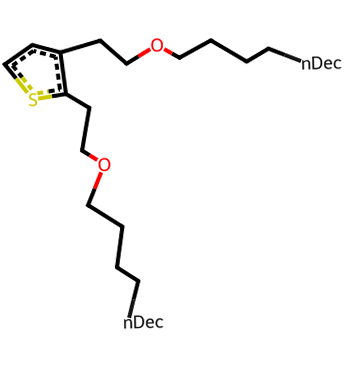 CCCCCCCCCCCCCCOCCc1ccsc1CCOCCCCCCCCCCCCCC